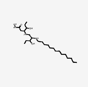 CCCCCCCCCCCCCCNC(CNC(CC(=O)NO)C(O)CC)C(O)CC